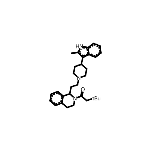 Cc1[nH]c2ccccc2c1C1CCN(CCC2c3ccccc3CCN2C(=O)CC(C)(C)C)CC1